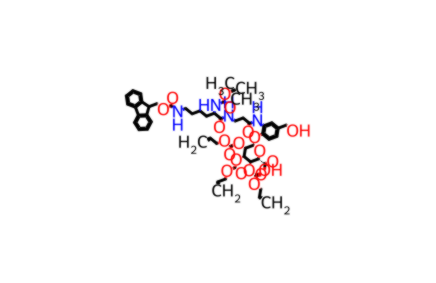 C=CCOC(=O)O[C@@H]1[C@@H](OC(=O)OCC=C)[C@H](Oc2ccc(CO)cc2NC(=O)CCNC(=O)C(CCCCNC(=O)OCC2c3ccccc3-c3ccccc32)NC(=O)OC(C)(C)C)O[C@H](C(=O)O)[C@H]1OC(=O)OCC=C